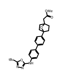 COC(=O)CC12CCC(c3ccc(-c4ccc(Nc5nnc(C(C)(C)C)o5)cc4)cc3)(CC1)O2